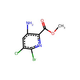 COC(=O)c1nc(Br)c(Cl)cc1N